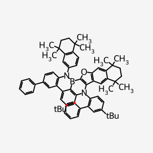 CC(C)(C)c1ccc(N2c3cc(C(C)(C)C)cc4c3B(c3oc5cc6c(cc5c32)C(C)(C)CCC6(C)C)N(c2ccc3c(c2)C(C)(C)CCC3(C)C)c2ccc(-c3ccccc3)cc2-4)c(-c2ccccc2)c1